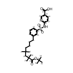 CC(C)(CCCCc1cccc(S(=O)(=O)Nc2ccc(C(=O)O)cn2)c1)CC(C)(C)C(=O)OC(C)(C)C